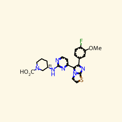 COc1cc(-c2nc3sccn3c2-c2ccnc(N[C@@H]3CCCN(C(=O)O)C3)n2)ccc1F